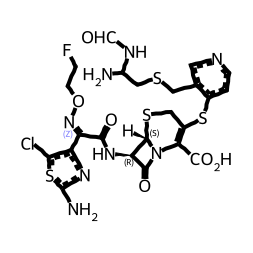 Nc1nc(/C(=N/OCCF)C(=O)N[C@@H]2C(=O)N3C(C(=O)O)=C(Sc4ccncc4CSCC(N)NC=O)CS[C@@H]23)c(Cl)s1